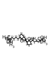 CC(C)(CCCCC1CCCC(C=CC2CCCC(CCCCC(C)(C)C(=O)O)C2O)C1O)C(=O)O